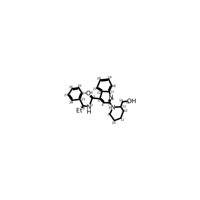 CCC(NC(=O)c1cc(N2CCCCC2CO)nc2ccccc12)c1ccccc1